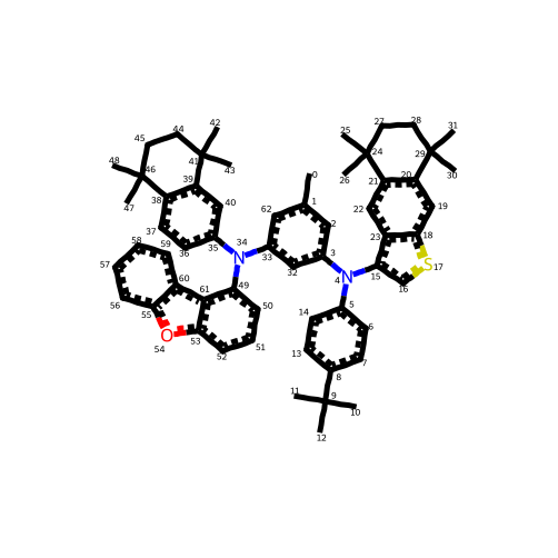 Cc1cc(N(c2ccc(C(C)(C)C)cc2)c2csc3cc4c(cc23)C(C)(C)CCC4(C)C)cc(N(c2ccc3c(c2)C(C)(C)CCC3(C)C)c2cccc3oc4ccccc4c23)c1